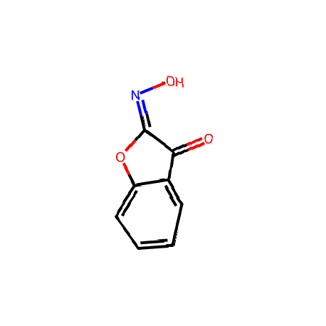 O=C1/C(=N\O)Oc2ccccc21